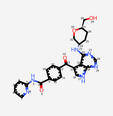 O=C(Nc1ccccn1)c1ccc(C(=O)c2c[nH]c3ncnc(N[C@H]4CC[C@H](CO)OC4)c23)cc1